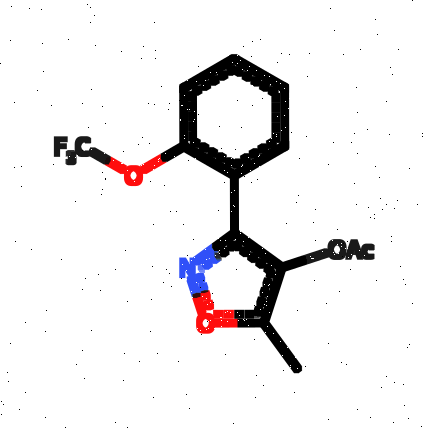 CC(=O)Oc1c(-c2ccccc2OC(F)(F)F)noc1C